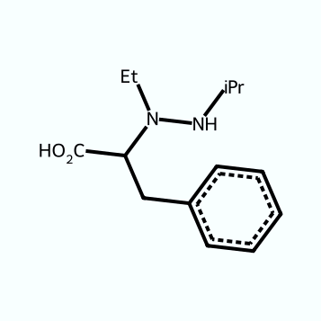 CCN(NC(C)C)C(Cc1ccccc1)C(=O)O